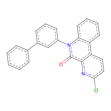 O=c1c2nc(Cl)ccc2c2ccccc2n1-c1cccc(-c2ccccc2)c1